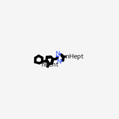 CCCCCCCc1cnc(-c2ccc(C3(CCCCC)CCCCC3)c(C)c2)nc1